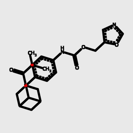 CC(C)C(=O)N1CC2CC(C1)C2Cc1ccc(NC(=O)OCc2cnco2)cc1